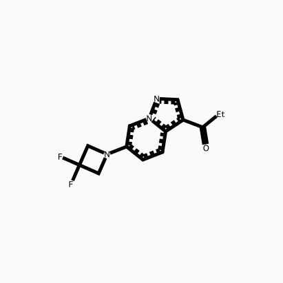 CCC(=O)c1cnn2cc(N3CC(F)(F)C3)ccc12